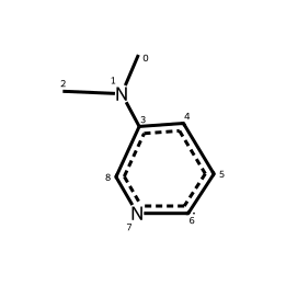 CN(C)c1cc[c]nc1